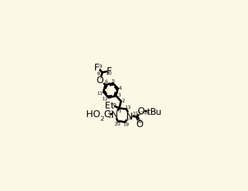 CCC1(Cc2ccc(OC(F)F)cc2)CN(C(=O)OC(C)(C)C)CCN1C(=O)O